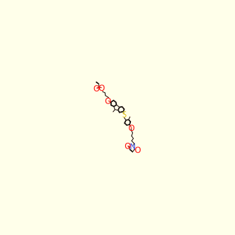 C=CC(=O)OCCCCOc1ccc2c(c1)C(C)c1cc(SCc3ccc(OCCCCCCN4C(=O)C=CC4=O)cc3C)ccc1-2